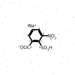 O=C([O-])c1cccc([N+](=O)[O-])c1S(=O)(=O)O.[Na+]